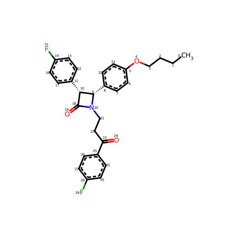 CCCCOc1ccc([C@H]2[C@@H](c3ccc(F)cc3)C(=O)N2CCC(=O)c2ccc(F)cc2)cc1